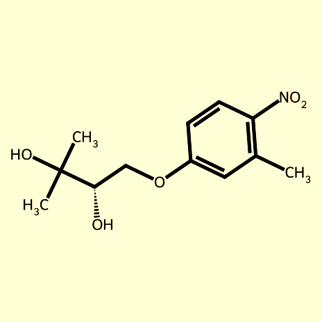 Cc1cc(OC[C@H](O)C(C)(C)O)ccc1[N+](=O)[O-]